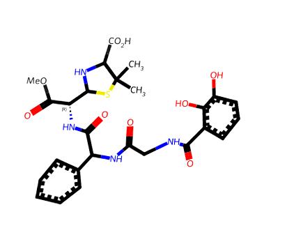 COC(=O)[C@@H](NC(=O)C(NC(=O)CNC(=O)c1cccc(O)c1O)c1ccccc1)C1NC(C(=O)O)C(C)(C)S1